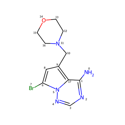 Nc1ncnn2c(Br)cc(CN3CCOCC3)c12